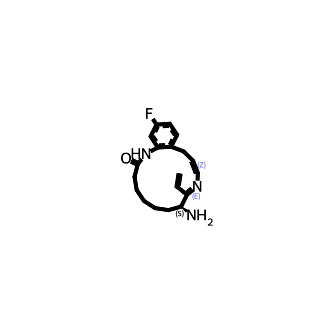 C=C/C1=N\C=C/Cc2ccc(F)cc2NC(=O)CCCCC[C@@H]1N